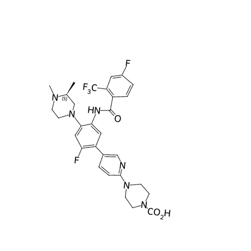 C[C@H]1CN(c2cc(F)c(-c3ccc(N4CCN(C(=O)O)CC4)nc3)cc2NC(=O)c2ccc(F)cc2C(F)(F)F)CCN1C